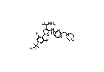 CC(C)(O)c1cc(F)c(C2CC(C(N)=O)=C(Nc3ccnc(CN4CCOCC4)n3)S2)c(F)c1